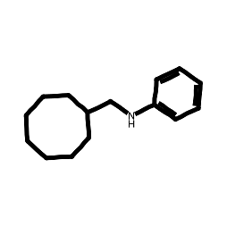 c1ccc(NCC2CCCCCCC2)cc1